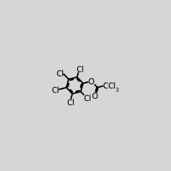 O=C(Oc1c(Cl)c(Cl)c(Cl)c(Cl)c1Cl)C(Cl)(Cl)Cl